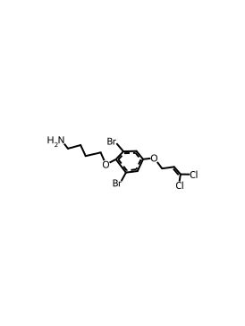 NCCCCOc1c(Br)cc(OCC=C(Cl)Cl)cc1Br